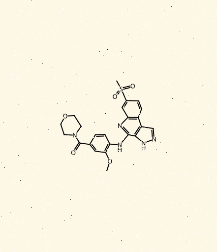 COc1cc(C(=O)N2CCOCC2)ccc1Nc1nc2cc(S(C)(=O)=O)ccc2c2cn[nH]c12